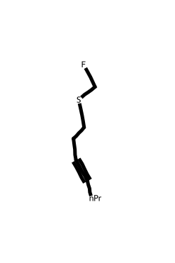 CCCC#CCCSCF